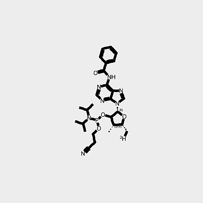 [2H]C[C@H]1O[C@@H](n2cnc3c(NC(=O)c4ccccc4)ncnc32)C(OP(OCCC#N)N(C(C)C)C(C)C)[C@H]1C